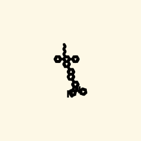 CCCCCc1cc(-c2ccccc2)c2cc(-c3ccc4c(c3)CCC(c3ccc5c(c3)c3cnccc3n5-c3ccccc3)=C4)ccc2c1-c1ccccc1